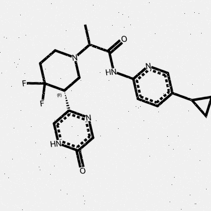 CC(C(=O)Nc1ccc(C2CC2)cn1)N1CCC(F)(F)[C@@H](c2c[nH]c(=O)cn2)C1